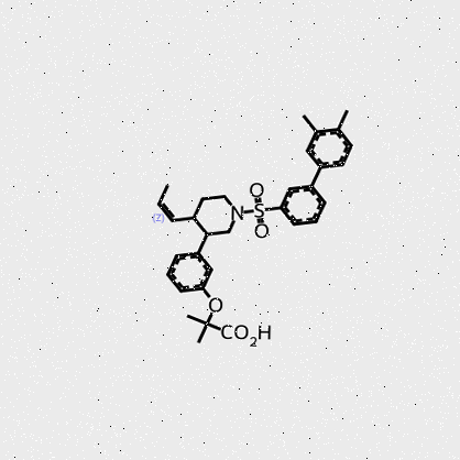 C/C=C\C1CCN(S(=O)(=O)c2cccc(-c3ccc(C)c(C)c3)c2)CC1c1cccc(OC(C)(C)C(=O)O)c1